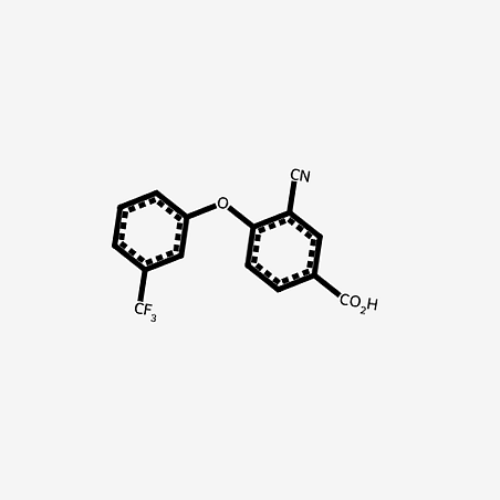 N#Cc1cc(C(=O)O)ccc1Oc1cccc(C(F)(F)F)c1